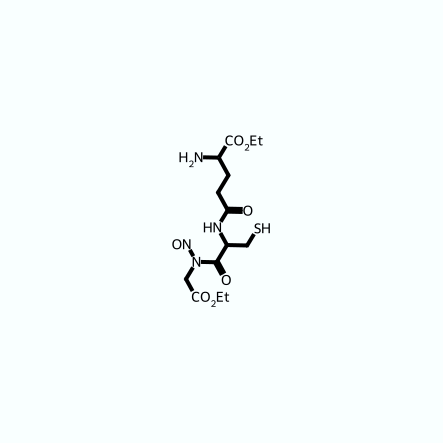 CCOC(=O)CN(N=O)C(=O)C(CS)NC(=O)CCC(N)C(=O)OCC